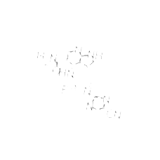 N#Cc1cnc(N2CCC(Nc3c(C(N)=O)cnc4[nH]ccc34)[C@@H](F)C2)cn1